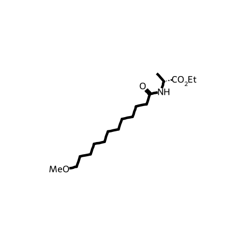 CCOC(=O)[C@@H](C)NC(=O)CCCCCCCCCCCOC